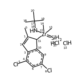 CC1=Cc2c(Cl)cc(Cl)cc2[CH]1[Zr]([CH3])([CH3])(=[SiH2])[NH]C(C)(C)C.Cl.Cl